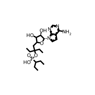 CCC(CC)P(=O)(O)OC(CC)(CC)CC1O[C@@H](n2ccc3c(N)ncnc32)[C@H](O)C1O